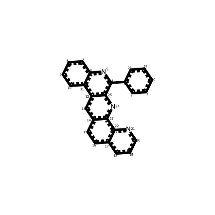 c1ccc(-c2nc3ccccc3c3cc4ccc5cccnc5c4nc23)cc1